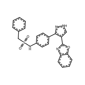 O=S(=O)(Cc1ccccc1)Nc1ccc(-c2n[nH]cc2-c2nc3ccccc3o2)cc1